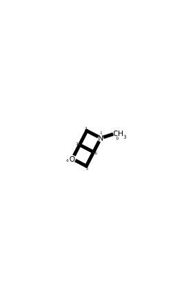 CN1CC2OCC21